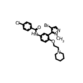 Cn1ncc(Br)c1-c1cc(NC(=O)c2ccc(Cl)cc2)ccc1OCCN1CCCCC1